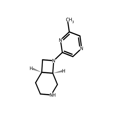 Cc1cncc(N2C[C@@H]3CCNC[C@@H]32)n1